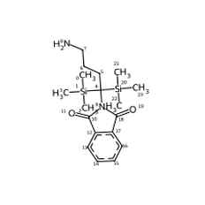 C[Si](C)(C)C(CCCN)(N1C(=O)c2ccccc2C1=O)[Si](C)(C)C